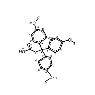 COc1ccc(C(CC(=O)O)(c2ccc(OC)cc2)c2ccc(OC)cc2)cc1